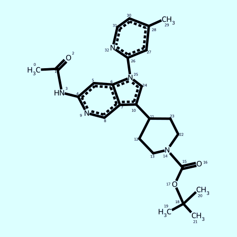 CC(=O)Nc1cc2c(cn1)c(C1CCN(C(=O)OC(C)(C)C)CC1)cn2-c1cc(C)ccn1